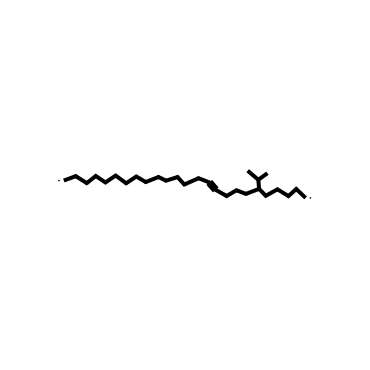 [CH2]CCCCCCCCCCCCCC#CCCCC(CCCC[CH2])C(C)C